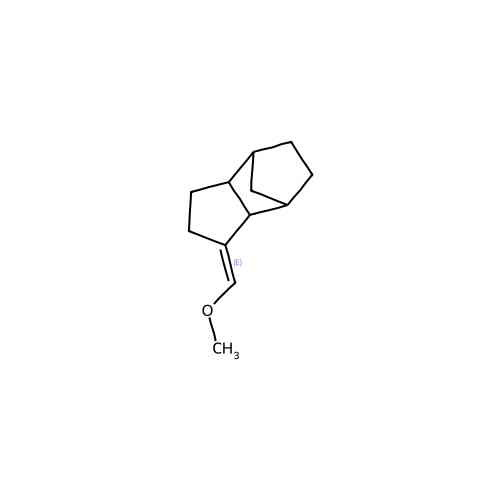 CO/C=C1\CCC2C3CCC(C3)C12